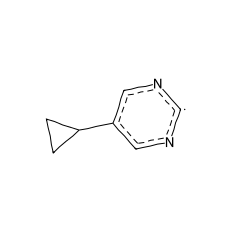 [c]1ncc(C2CC2)cn1